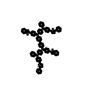 c1ccc(-c2ccc(-c3ccc(N(c4ccccc4)c4ccc(N(c5ccc(-c6ccc(N(c7ccc(-c8cc9ccccc9s8)cc7)c7ccc(N(c8ccccc8)c8ccc(-c9ccc(-c%10ccccc%10)s9)cc8)cc7)cc6)cc5)c5ccc(-c6cc7ccccc7s6)cc5)cc4)cc3)s2)cc1